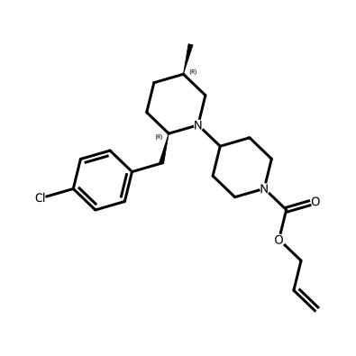 C=CCOC(=O)N1CCC(N2C[C@H](C)CC[C@@H]2Cc2ccc(Cl)cc2)CC1